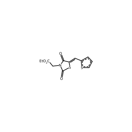 CCOC(=O)CN1C(=O)S/C(=C\c2cccs2)C1=O